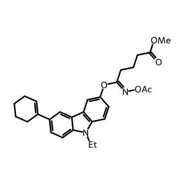 CCn1c2ccc(OC(CCCC(=O)OC)=NOC(C)=O)cc2c2cc(C3=CCCCC3)ccc21